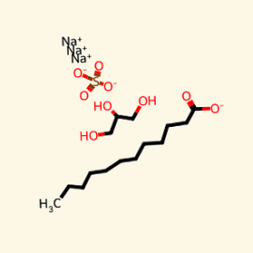 CCCCCCCCCCCC(=O)[O-].O=S(=O)([O-])[O-].OCC(O)CO.[Na+].[Na+].[Na+]